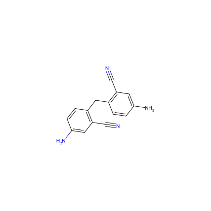 N#Cc1cc(N)ccc1Cc1ccc(N)cc1C#N